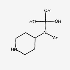 CC(=O)N(C1CCNCC1)C(O)(O)O